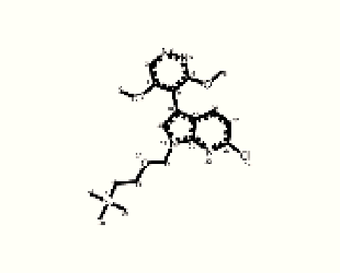 COc1cnnc(OC)c1-c1cn(COCC[Si](C)(C)C)c2nc(Cl)ccc12